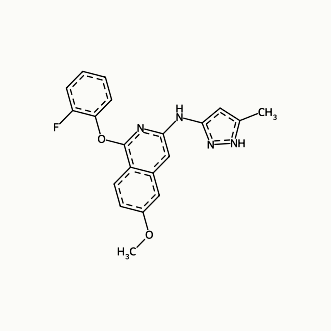 COc1ccc2c(Oc3ccccc3F)nc(Nc3cc(C)[nH]n3)cc2c1